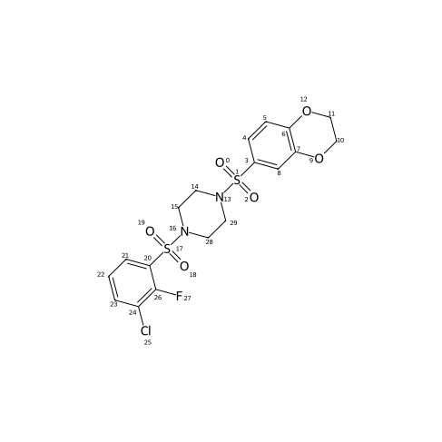 O=S(=O)(c1ccc2c(c1)OCCO2)N1CCN(S(=O)(=O)c2cccc(Cl)c2F)CC1